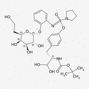 CC(C)(C)OC(=O)N[C@@H](Cc1ccc(OS(=O)(=Nc2ccccc2O[C@H]2O[C@H](CCO)[C@H](O)[C@H](O)[C@H]2O)N2CCCC2)cc1)C(O)O